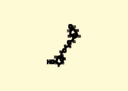 OC1CC2CC(COCCOCC3CC4OC3C3OC43)C1O2